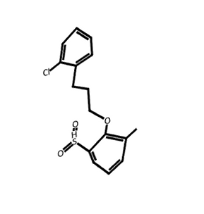 Cc1cccc([SH](=O)=O)c1OCCCc1ccccc1Cl